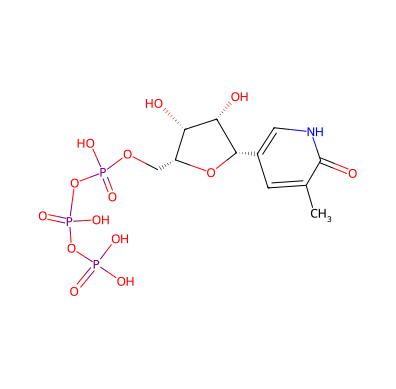 Cc1cc([C@@H]2O[C@H](COP(=O)(O)OP(=O)(O)OP(=O)(O)O)[C@H](O)[C@@H]2O)c[nH]c1=O